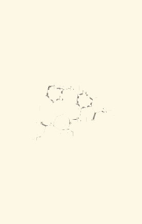 Cc1ccnc(Nc2cc(N[C@@H]3CCN(C(=O)OC(C)(C)C)C[C@@H]3F)c(C(N)=O)cn2)n1